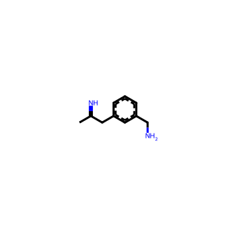 CC(=N)Cc1cccc(CN)c1